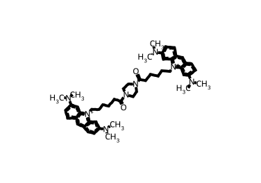 CN(C)c1ccc2cc3ccc(N(C)C)cc3[n+](CCCCCC(=O)N3CCN(C(=O)CCCCC[n+]4c5cc(N(C)C)ccc5cc5ccc(N(C)C)cc54)CC3)c2c1